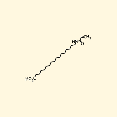 C=CC(=O)NCCCCCCCCCCCCCCCCC(=O)O